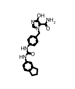 NC(=O)c1c(O)ncn1Cc1ccc(NC(=O)Nc2ccc3c(c2)CCC3)cc1